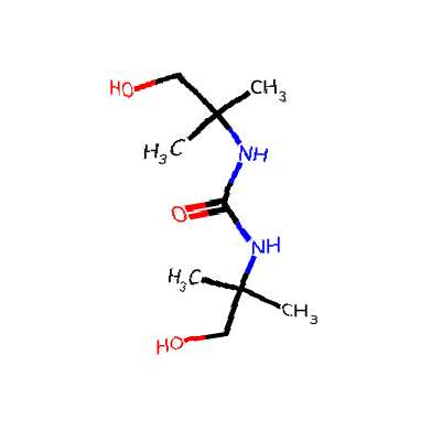 CC(C)(CO)NC(=O)NC(C)(C)CO